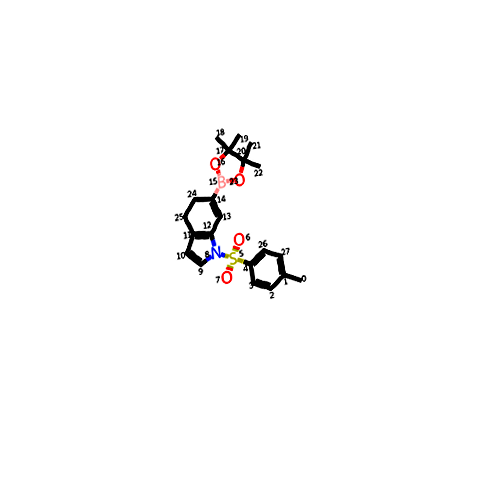 Cc1ccc(S(=O)(=O)n2ccc3c2C=C(B2OC(C)(C)C(C)(C)O2)CC3)cc1